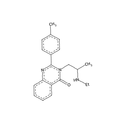 CCNC(C)Cn1c(-c2ccc(C)cc2)nc2ccccc2c1=O